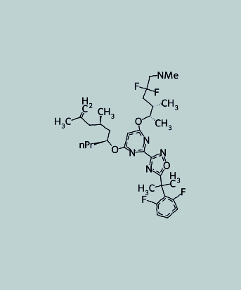 C=C(C)C[C@@H](C)C[C@H](CCC)Oc1cc(O[C@@H](C)[C@@H](C)CC(F)(F)CNC)nc(-c2noc(C(C)(C)c3c(F)cccc3F)n2)n1